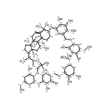 C[C@H](CC[C@@H](O[C@@H]1O[C@H](CO[C@@H]2O[C@H](CO)C[C@H](O)[C@H]2O)[C@@H](O)[C@H](O)[C@H]1O[C@H]1C[C@@H](O)C[C@@H](CO)O1)C(C)(C)O)[C@H]1CC[C@@]2(C)[C@@H]3CC=C4[C@@H](CC[C@H](O[C@@H]5O[C@H](CO[C@@H]6O[C@H](CO)[C@@H](O)[C@H](O)[C@H]6O)[C@@H](O)[C@H](O)[C@H]5O)C4(C)C)[C@]3(C)[C@H](O)C[C@]12C